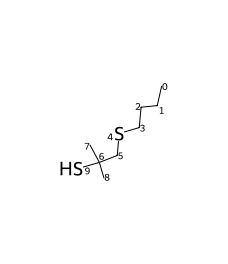 CCCCSCC(C)(C)S